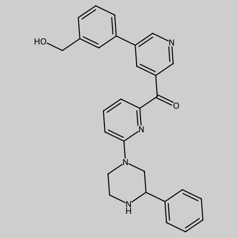 O=C(c1cncc(-c2cccc(CO)c2)c1)c1cccc(N2CCNC(c3ccccc3)C2)n1